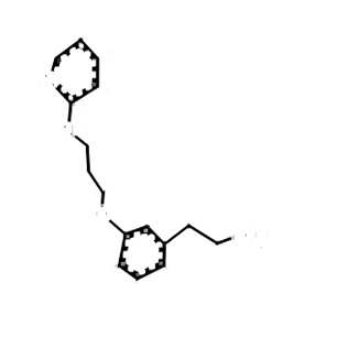 O=C(O)CCc1cccc(OCCCNc2ccccn2)c1